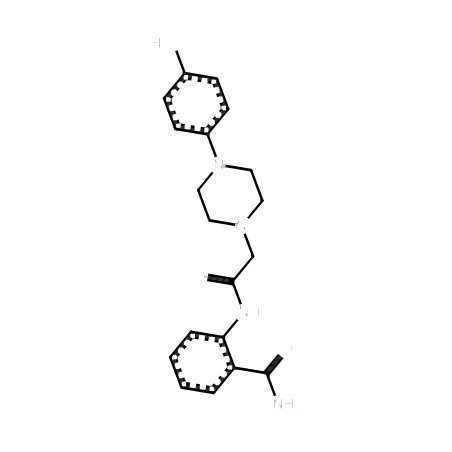 Cc1ccc(N2CCN(CC(=O)Nc3ccccc3C(N)=O)CC2)cc1